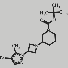 Cc1c(Br)cnn1C1CN(C2CCCN(C(=O)OC(C)(C)C)C2)C1